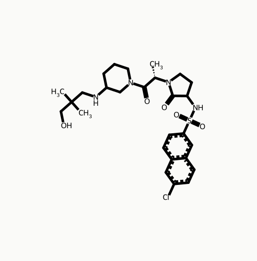 C[C@@H](C(=O)N1CCCC(NCC(C)(C)CO)C1)N1CCC(NS(=O)(=O)c2ccc3cc(Cl)ccc3c2)C1=O